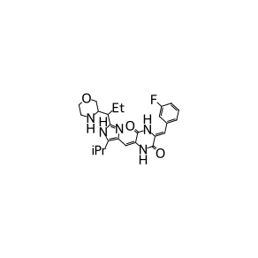 CCC(c1nc(C=c2[nH]c(=O)c(=Cc3cccc(F)c3)[nH]c2=O)c(C(C)C)[nH]1)C1COCCN1